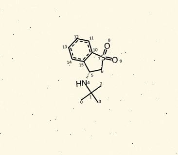 CC(C)(C)N[C@H]1CS(=O)(=O)c2ccccc21